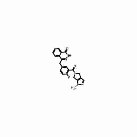 Cn1ncc2c1CN(C(=O)c1cc(Cc3n[nH]c(=O)c4ccccc34)ccc1F)C2